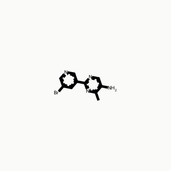 Cc1nc(-c2cncc(Br)c2)ncc1N